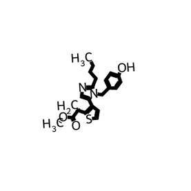 C=C(C(=O)OC)c1sccc1-c1cnc(CCCC)n1Cc1ccc(O)cc1